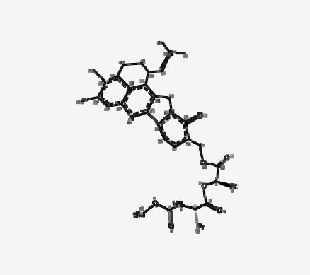 CC[C@@H](OC(=O)[C@@H](NC(=O)OC(C)(C)C)C(C)C)C(=O)OCc1ccc2n(c1=O)Cc1c-2nc2cc(F)c(C)c3c2c1C(C=[N+](C)C)CC3